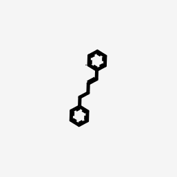 [c]1ccccc1C=CCCc1ccccc1